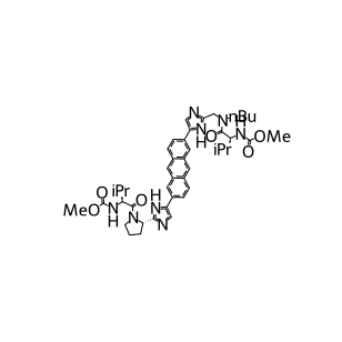 CCCCN(Cc1ncc(-c2ccc3cc4cc(-c5cnc([C@@H]6CCCN6C(=O)[C@@H](NC(=O)OC)C(C)C)[nH]5)ccc4cc3c2)[nH]1)C(=O)[C@@H](NC(=O)OC)C(C)C